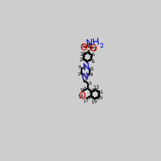 NS(=O)(=O)c1ccc(N2CCN(CCC3COCc4ccccc43)CC2)cc1